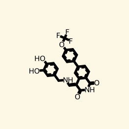 O=C1NC(=O)c2ccc(-c3ccc(OC(F)(F)F)cc3)cc2/C1=C\NCc1ccc(O)c(O)c1